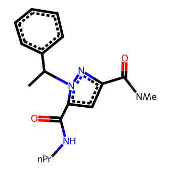 CCCNC(=O)c1cc(C(=O)NC)nn1C(C)c1ccccc1